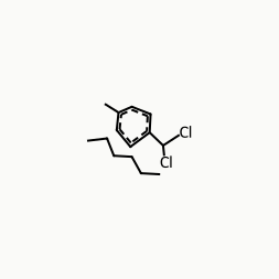 CCCCCC.Cc1ccc(C(Cl)Cl)cc1